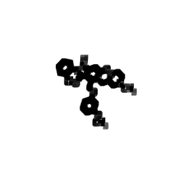 COc1cccc(OCc2c3c(=O)n(-c4ccccc4Cl)[nH]c3cc(=O)n2CC2CN(C)CCO2)c1